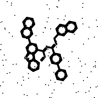 C=N/C(=N\C(=N/Cc1ccc2ccccc2c1)c1ccc(-c2ccccc2)cc1)c1cc(-c2ccc3ccccc3c2)cc2oc3ccccc3c12